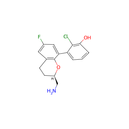 NC[C@H]1CCc2cc(F)cc(-c3cccc(O)c3Cl)c2O1